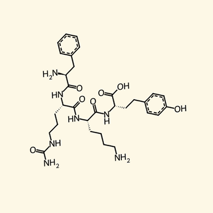 NCCCC[C@H](NC(=O)[C@H](CCCNC(N)=O)NC(=O)[C@@H](N)Cc1ccccc1)C(=O)N[C@@H](CCc1ccc(O)cc1)C(=O)O